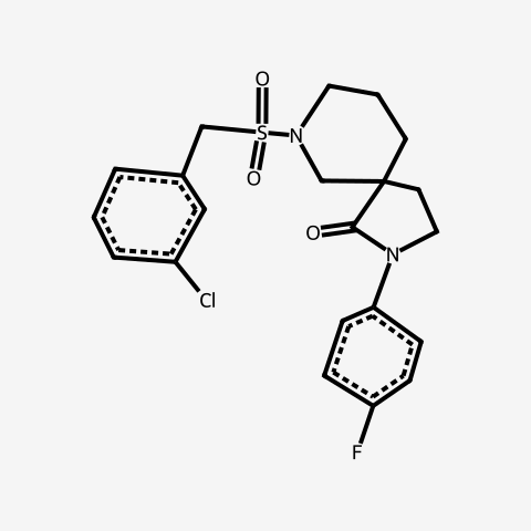 O=C1N(c2ccc(F)cc2)CCC12CCCN(S(=O)(=O)Cc1cccc(Cl)c1)C2